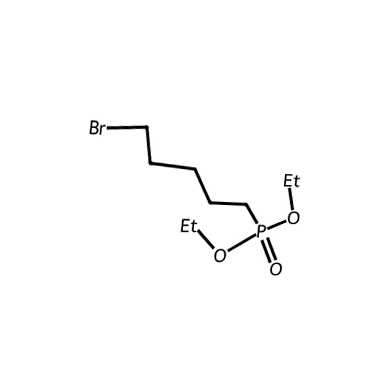 CCOP(=O)(CCCCCBr)OCC